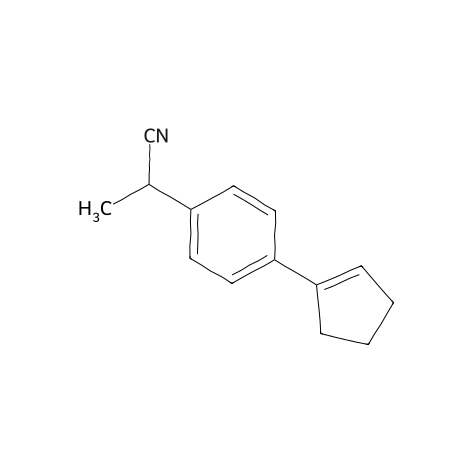 CC(C#N)c1ccc(C2=CCCC2)cc1